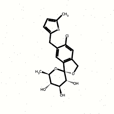 Cc1ccc(Cc2cc3c(cc2Cl)CO[C@]32O[C@H](C)[C@@H](O)[C@H](O)[C@H]2O)s1